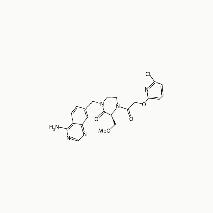 COC[C@H]1C(=O)N(Cc2ccc3c(N)ncnc3c2)CCN1C(=O)COc1cccc(Cl)n1